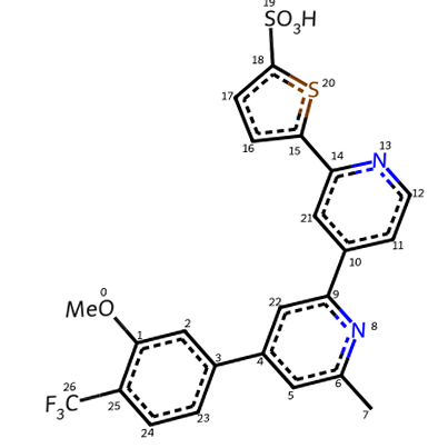 COc1cc(-c2cc(C)nc(-c3ccnc(-c4ccc(S(=O)(=O)O)s4)c3)c2)ccc1C(F)(F)F